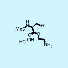 CSN[C@@H](CC(C)C)C(=O)OCCN.Cl.Cl